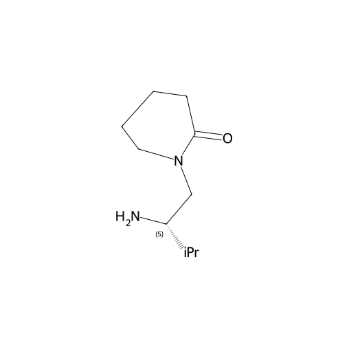 CC(C)[C@H](N)CN1CCCCC1=O